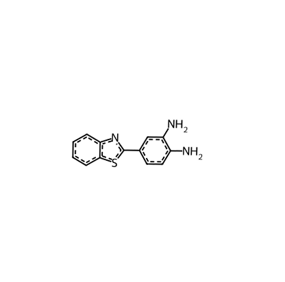 Nc1ccc(-c2nc3ccccc3s2)cc1N